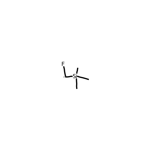 C[Si](C)(C)[C]F